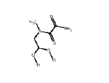 CCOC(CN(C)C(=O)C(N)=O)OCC